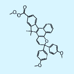 COOC(=O)c1ccc2c(c1)C(C)(C)c1c3c(c4ccccc4c1-2)OC(c1ccc(OC)cc1)(c1ccc(OC)cc1)C=C3